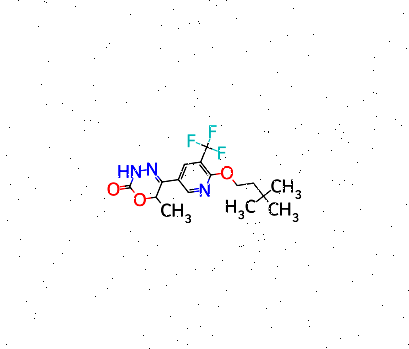 CC1OC(=O)NN=C1c1cnc(OCCC(C)(C)C)c(C(F)(F)F)c1